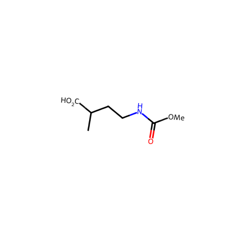 COC(=O)NCCC(C)C(=O)O